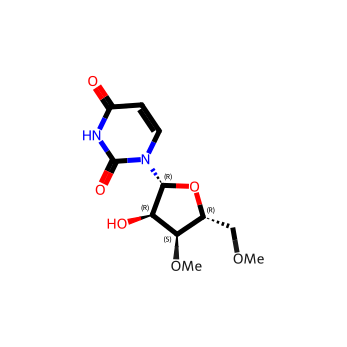 COC[C@H]1O[C@@H](n2ccc(=O)[nH]c2=O)[C@H](O)[C@@H]1OC